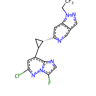 Fc1cnc2c(C3C[C@@H]3c3cc4c(cn3)cnn4CC(F)(F)F)cc(Cl)nn12